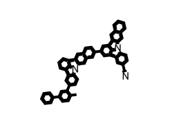 Cc1ccc(-c2ccccc2)cc1-c1ccc2c(c1)c1cccc3c4cc5ccc(-c6cc7c8cc(C#N)ccc8n8c9cc%10ccccc%10cc9c(c6)c78)cc5cc4n2c13